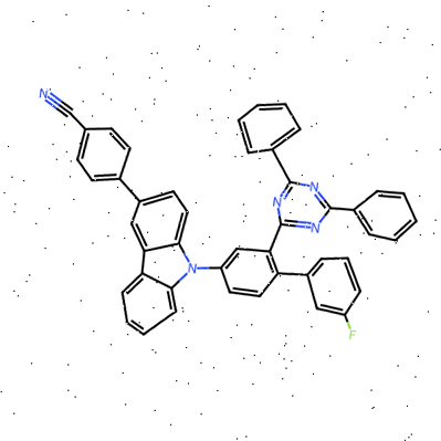 N#Cc1ccc(-c2ccc3c(c2)c2ccccc2n3-c2ccc(-c3cccc(F)c3)c(-c3nc(-c4ccccc4)nc(-c4ccccc4)n3)c2)cc1